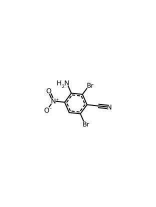 N#Cc1c(Br)cc([N+](=O)[O-])c(N)c1Br